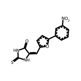 O=C1NC(=S)NC1=Cc1ccc(-c2cccc([N+](=O)[O-])c2)o1